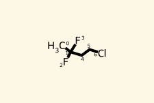 CC(F)(F)CCCl